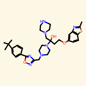 Cc1nc2cc(OCCC(O)(CN3CCNCC3)N3CCN(Cc4noc(-c5ccc(C(C)(C)C)cc5)n4)CC3)ccc2s1